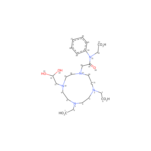 O=C(O)CN1CCN(CC(=O)O)CCN(CC(O)O)CCN(CC(=O)N(CC(=O)O)c2ccccc2)CC1